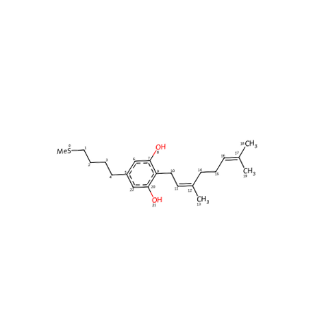 CSCCCCc1cc(O)c(CC=C(C)CCC=C(C)C)c(O)c1